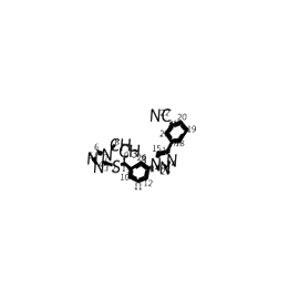 C[C@H](Sc1nncn1C)c1cccc(-n2cc(-c3cccc(C#N)c3)nn2)c1